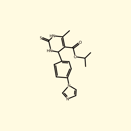 CC1=C(C(=O)OC(C)C)C(c2ccc(-n3ccnc3)cc2)NC(=S)N1